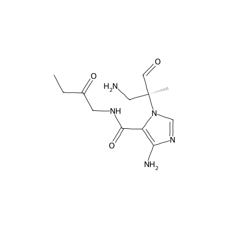 CCC(=O)CNC(=O)c1c(N)ncn1[C@](C)(C=O)CN